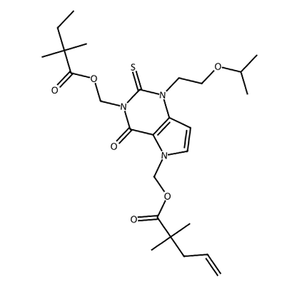 C=CCC(C)(C)C(=O)OCn1ccc2c1c(=O)n(COC(=O)C(C)(C)CC)c(=S)n2CCOC(C)C